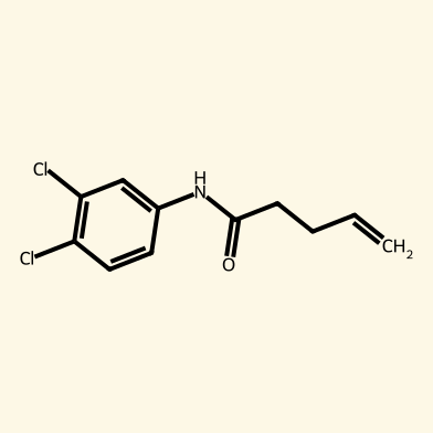 C=CCCC(=O)Nc1ccc(Cl)c(Cl)c1